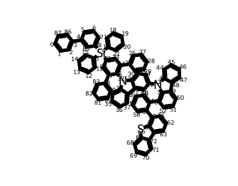 c1ccc(-c2cccc([Si](c3ccccc3)(c3ccccc3)c3cc(-c4ccccc4)c(-n4c5ccccc5c5cc(-n6c7ccccc7c7cccc(-c8ccccc8-c8cccc9c8sc8ccccc89)c76)ccc54)c(-c4ccccc4)c3)c2)cc1